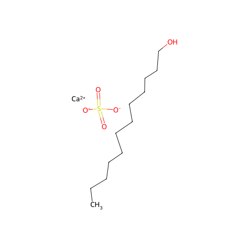 CCCCCCCCCCCCO.O=S(=O)([O-])[O-].[Ca+2]